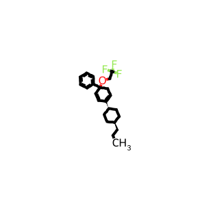 CCC[C@H]1CC[C@H](C2=CCC(OCC(F)(F)F)(c3ccccc3)C=C2)CC1